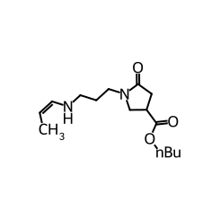 C/C=C\NCCCN1CC(C(=O)OCCCC)CC1=O